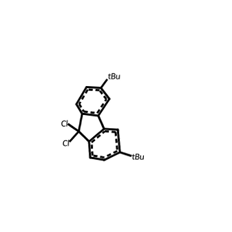 CC(C)(C)c1ccc2c(c1)-c1cc(C(C)(C)C)ccc1C2(Cl)Cl